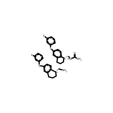 NC(=O)NC[C@@H]1CCCc2cc(Sc3cccc(F)c3)ccc21.NC[C@@H]1CCCc2cc(Sc3cccc(F)c3)ccc21